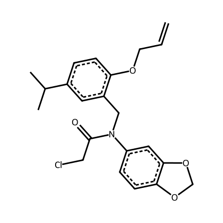 C=CCOc1ccc(C(C)C)cc1CN(C(=O)CCl)c1ccc2c(c1)OCO2